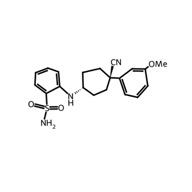 COc1cccc([C@]2(C#N)CC[C@H](Nc3ccccc3S(N)(=O)=O)CC2)c1